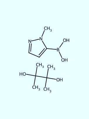 CC(C)(O)C(C)(C)O.Cn1nccc1B(O)O